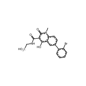 Cn1c(=O)c(C(=O)NCC(=O)O)c(O)c2cc(-c3ccccc3Br)ccc21